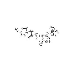 CC(C)(C)OC(=O)N[C@@H](CCC(=O)Nc1ccc(N=O)cc1)C(=O)O